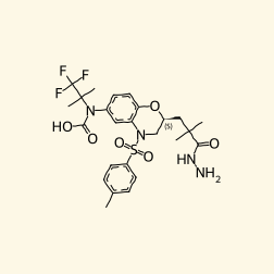 Cc1ccc(S(=O)(=O)N2C[C@H](CC(C)(C)C(=O)NN)Oc3ccc(N(C(=O)O)C(C)(C)C(F)(F)F)cc32)cc1